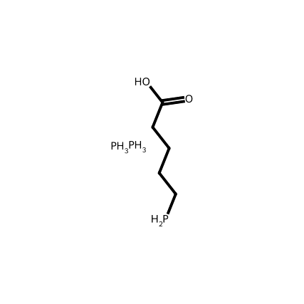 O=C(O)CCCCP.P.P